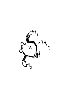 C=C(N[C@@H](C)CC)OC